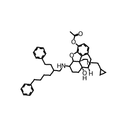 CC(=O)Oc1ccc2c3c1OC1C(NCC(CCCCc4ccccc4)CCc4ccccc4)CC[C@@]4(O)[C@@H](C2)N(CC2CC2)CC[C@]314